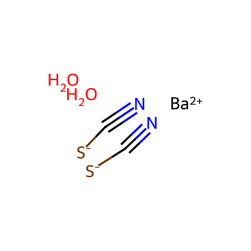 N#C[S-].N#C[S-].O.O.[Ba+2]